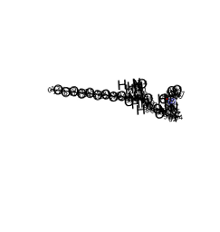 CCCOCCOCCOCCOCCOCCOCCOCCOCCOCCC(=O)NCC(=O)NC(CCCNC(N)=O)C(=O)Nc1ccc(COC(=O)NC2CCc3c(C)c(F)cc4nc5c(c2c34)CN(C=O)/C5=C\C2=C(C)COC(=O)C2CC)cc1